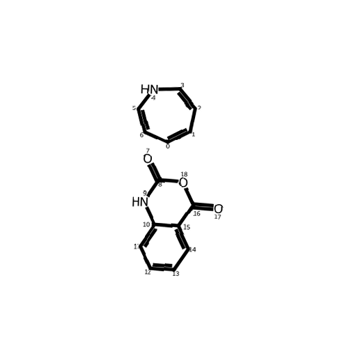 C1=CC=CNC=C1.O=c1[nH]c2ccccc2c(=O)o1